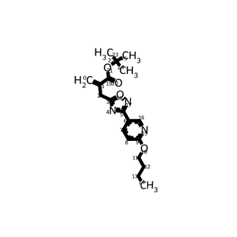 C=C(Cc1nc(-c2ccc(OCCCC)nc2)no1)C(=O)OC(C)(C)C